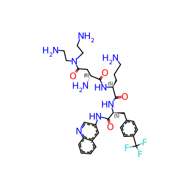 NCCC[C@H](NC(=O)[C@H](N)CC(=O)N(CCN)CCN)C(=O)N[C@@H](Cc1ccc(C(F)(F)F)cc1)C(=O)Nc1cnc2ccccc2c1